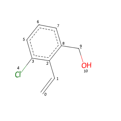 C=Cc1c(Cl)cccc1[CH]O